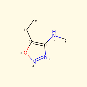 CCc1onnc1NC